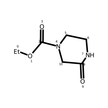 CCOC(=O)N1CCNC(=O)C1